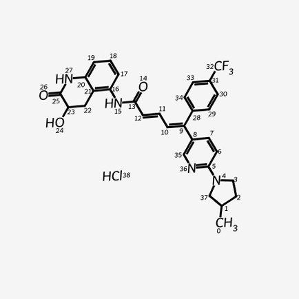 CC1CCN(c2ccc(C(=CC=CC(=O)Nc3cccc4c3CC(O)C(=O)N4)c3ccc(C(F)(F)F)cc3)cn2)C1.Cl